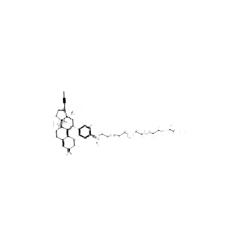 CC#C[C@]1(O)CC[C@H]2[C@@H]3CCC4=CC(=O)CCC4=C3[C@@H](c3ccc(N(C)CCOCCOCCOCCOCC(=O)O)cc3)C[C@@]21C